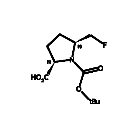 CC(C)(C)OC(=O)N1[C@@H](CF)CC[C@H]1C(=O)O